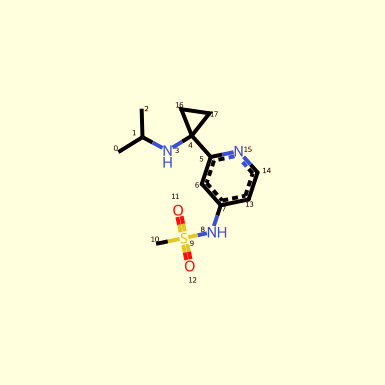 CC(C)NC1(c2cc(NS(C)(=O)=O)ccn2)CC1